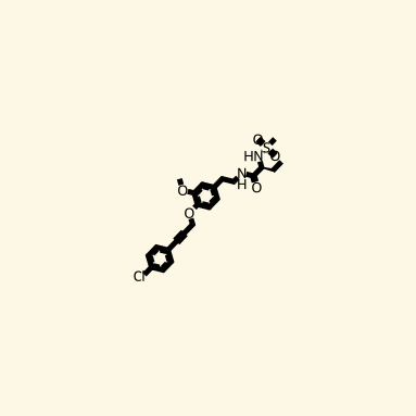 CC[C@H](NS(C)(=O)=O)C(=O)NCCc1ccc(OCC#Cc2ccc(Cl)cc2)c(OC)c1